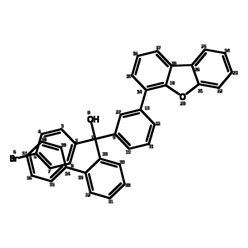 OC(c1ccc(Br)cc1)(c1cccc(-c2cccc3c2oc2ccccc23)c1)c1ccccc1-c1ccccc1